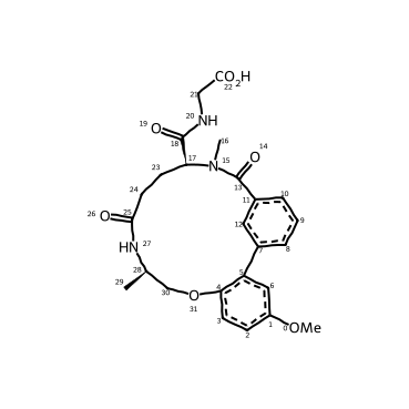 COc1ccc2c(c1)-c1cccc(c1)C(=O)N(C)[C@H](C(=O)NCC(=O)O)CCC(=O)N[C@H](C)CO2